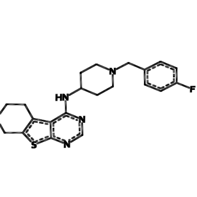 Fc1ccc(CN2CCC(Nc3ncnc4sc5c(c34)CCCC5)CC2)cc1